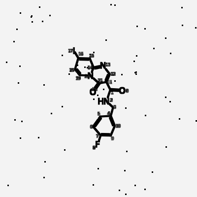 O=C(NCc1ccc(F)cc1)c1cnc2cc(I)ccn2c1=O